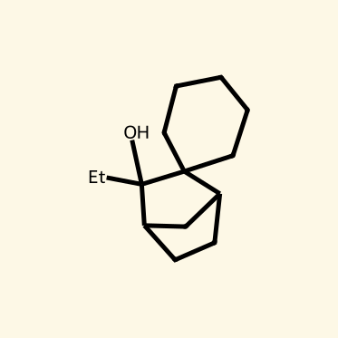 CCC1(O)C2CCC(C2)C12CCCCC2